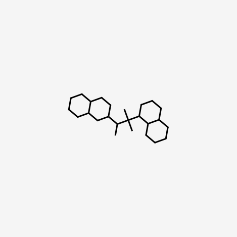 CC(C1CCC2CCCCC2C1)C(C)(C)C1CCCC2CCCCC21